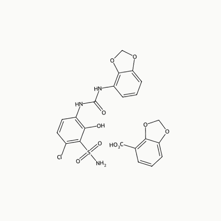 NS(=O)(=O)c1c(Cl)ccc(NC(=O)Nc2cccc3c2OCO3)c1O.O=C(O)c1cccc2c1OCO2